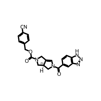 N#Cc1ccc(COC(=O)N2CC3=CN(C(=O)c4ccc5[nH]nnc5c4)C[C@H]3C2)cc1